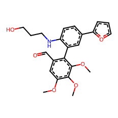 COc1cc(C=O)c(-c2cc(-c3ccco3)ccc2NCCCO)c(OC)c1OC